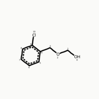 OCOCc1ccccc1Cl